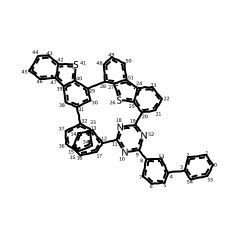 c1ccc(-c2cccc(-c3nc(-c4ccccc4)nc(-c4cccc5c4sc4c(-c6cc(-c7ccccc7)cc7c6sc6ccccc67)cccc45)n3)c2)cc1